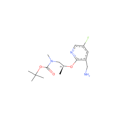 C[C@@H](CN(C)C(=O)OC(C)(C)C)Oc1ncc(F)cc1CN